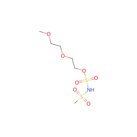 COCCOCCOS(=O)(=O)NS(C)(=O)=O